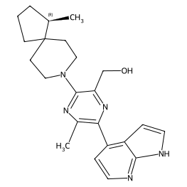 Cc1nc(N2CCC3(CCC[C@H]3C)CC2)c(CO)nc1-c1ccnc2[nH]ccc12